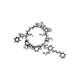 CO[C@@H]1C[C@H](C[C@@H](C)[C@@H]2CC(=O)[C@H](C)/C=C(\C)[C@@H](O)[C@@H](OC)C(=O)[C@H](C)C[C@H](C)/C=C/C=C/C=C(\C)C(OC[C@@H](O)c3ccccc3)C[C@@H]3CC[C@@H](C)[C@@](O)(O3)C(=O)C(=O)N3CCCCC3C(=O)O2)CC[C@H]1OCCCN1CCOCC1